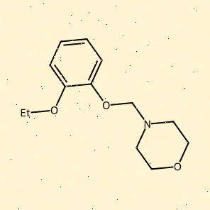 CCOc1ccccc1OCN1CCOCC1